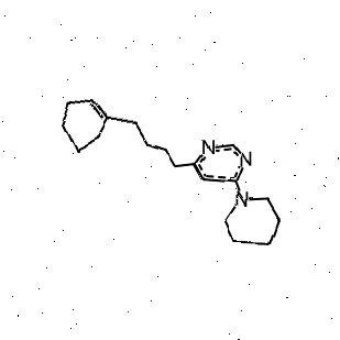 C1=C(CCCCc2cc(N3CCCCC3)ncn2)CCCC1